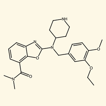 CCOc1cc(CN(c2nc3cccc(C(=O)N(C)C)c3o2)C2CCNCC2)ccc1OC